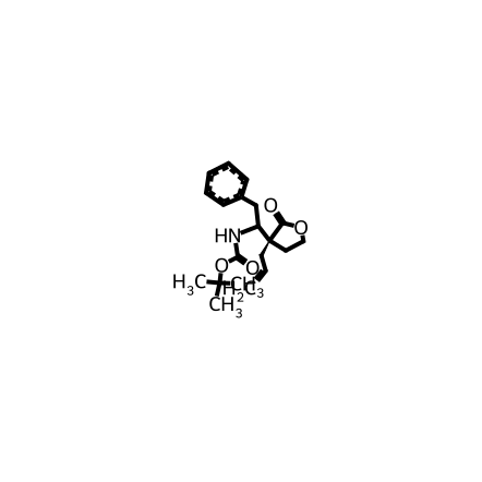 C=CC[C@]1(C(Cc2ccccc2)NC(=O)OC(C)(C)C)CCOC1=O